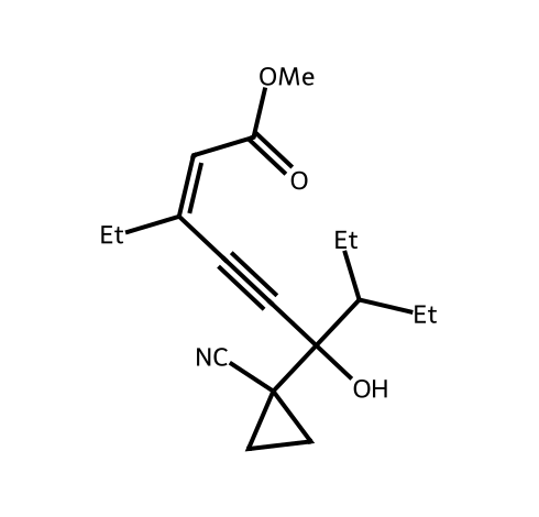 CC/C(C#CC(O)(C(CC)CC)C1(C#N)CC1)=C/C(=O)OC